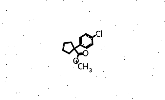 COC(=O)C1(c2ccc(Cl)cc2)CCCC1